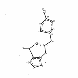 CC(N)c1nccn1CCCc1ccc(Cl)cc1